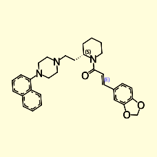 O=C(/C=C/c1ccc2c(c1)OCO2)N1CCCC[C@H]1CCN1CCN(c2cccc3ccccc23)CC1